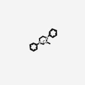 [CH3][Ga]1[CH2]N(c2ccccc2)CC[N]1c1ccccc1